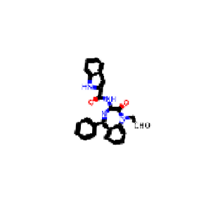 O=CCN1C(=O)C(NC(=O)c2cc3ccccc3[nH]2)N=C(c2ccccc2)c2ccccc21